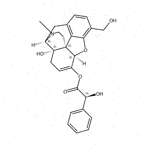 CN1CC[C@]23c4c5ccc(CO)c4O[C@H]2C(OC(=O)[C@@H](O)c2ccccc2)=CC[C@@]3(O)[C@H]1C5